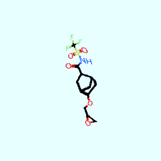 O=C(NS(=O)(=O)C(F)(F)F)C1CC2CC1CC2OCC1CO1